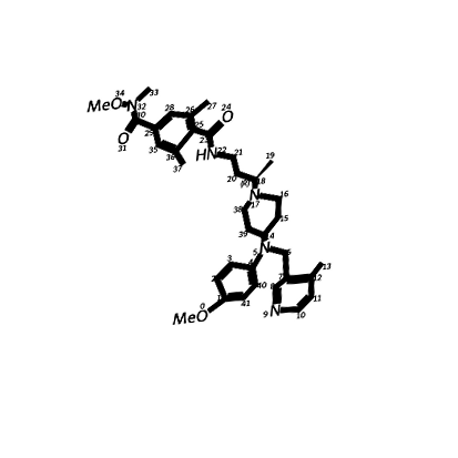 COc1ccc(N(Cc2cnccc2C)C2CCN([C@H](C)CCNC(=O)c3c(C)cc(C(=O)N(C)OC)cc3C)CC2)cc1